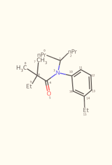 CCCC(CCC)N(C(=O)C(C)(C)CC)c1cccc(CC)c1